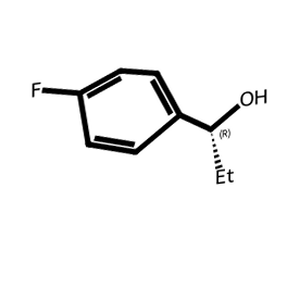 CC[C@@H](O)c1ccc(F)cc1